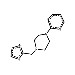 c1cnc(N2CCN(Cc3ncsn3)CC2)nc1